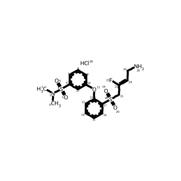 CN(C)S(=O)(=O)c1cccc(Oc2ccccc2S(=O)(=O)C/C(F)=C/CN)c1.Cl